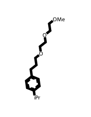 COCCOCCOCCCc1ccc(C(C)C)cc1